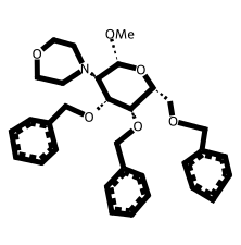 CO[C@@H]1O[C@H](COCc2ccccc2)[C@H](OCc2ccccc2)[C@H](OCc2ccccc2)[C@@H]1N1CCOCC1